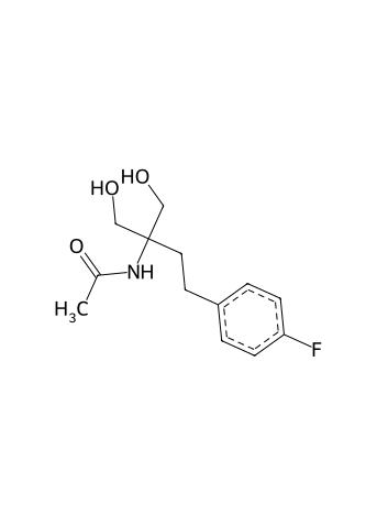 CC(=O)NC(CO)(CO)CCc1ccc(F)cc1